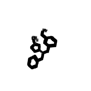 CC(C)Cc1cccc(CN(Cc2ccccc2)[C@@H]2CCN(C)C2)c1